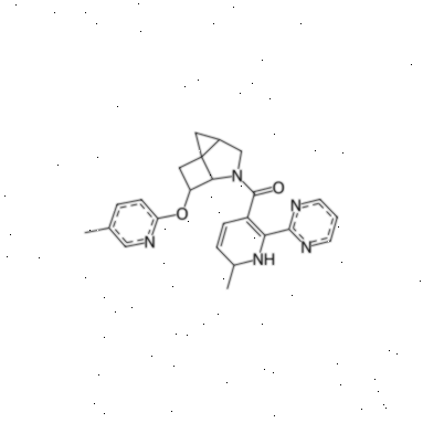 Cc1ccc(OC2CC34CC3CN(C(=O)C3=C(c5ncccn5)NC(C)C=C3)C24)nc1